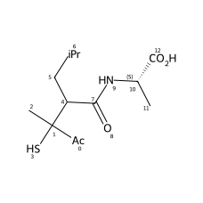 CC(=O)C(C)(S)C(CC(C)C)C(=O)N[C@@H](C)C(=O)O